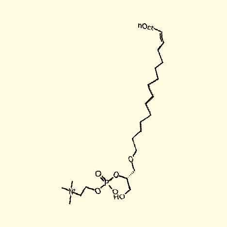 CCCCCCCC/C=C\CCCCCCCCCCCCOC[C@H](CO)OP(=O)([O-])OCC[N+](C)(C)C